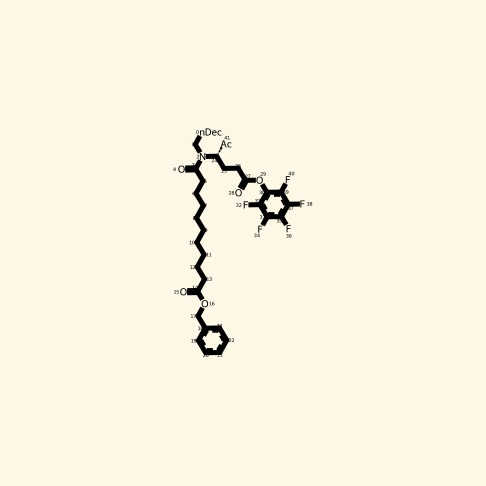 CCCCCCCCCCCN(C(=O)CCCCCCCCCC(=O)OCc1ccccc1)[C@@H](CCC(=O)Oc1c(F)c(F)c(F)c(F)c1F)C(C)=O